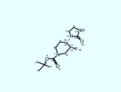 CC(C)(C)OC(=O)N1CC[C@H](N2CCNC2=O)[C@@H](F)C1